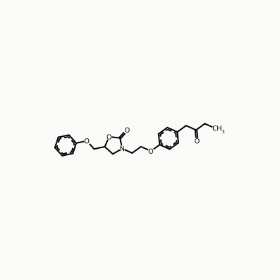 CCC(=O)Cc1ccc(OCCN2CC(COc3ccccc3)OC2=O)cc1